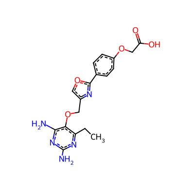 CCc1nc(N)nc(N)c1OCc1coc(-c2ccc(OCC(=O)O)cc2)n1